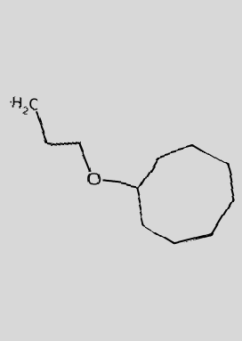 [CH2]CCOC1CCCCCCC1